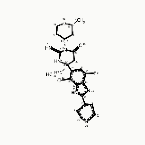 C[C@@H]1C[C@H](N2C(=N)N[C@](C)(c3cc(F)c4nc(-c5ccncc5)[nH]c4c3Cl)CC2=O)CCO1.Cl